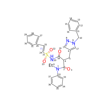 CCN(C(=O)C(Cc1cnn(Cc2ccccc2)c1)C(=O)NS(=O)(=O)/C=C/c1ccccc1)c1ccccc1